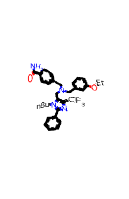 CCCCn1c(-c2ccccc2)nc(C(F)(F)F)c1CN(Cc1ccc(C(N)=O)cc1)Cc1cccc(OCC)c1